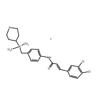 C[N+](C)(Cc1ccc(NC(=O)C=Cc2ccc(Cl)c(Cl)c2)cc1)C1CCSCC1.[I-]